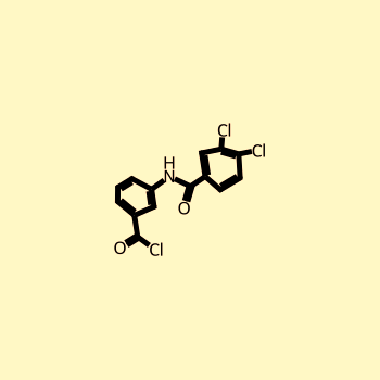 O=C(Cl)c1cccc(NC(=O)c2ccc(Cl)c(Cl)c2)c1